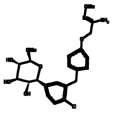 CON=C(N)COc1ccc(Cc2cc([C@@H]3O[C@H](OC)[C@@H](O)[C@H](O)[C@H]3O)ccc2Cl)cc1